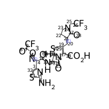 Nc1nc(/C(=N/OC(=O)C(F)(F)F)C(=O)N[C@@H]2C(=O)N3C(C(=O)O)=C(/C=C4\CCN(CC(F)(F)F)C4=O)CS[C@H]23)cs1